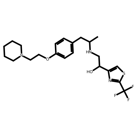 CC(Cc1ccc(OCCN2CCCCC2)cc1)NCC(O)c1csc(C(F)(F)F)n1